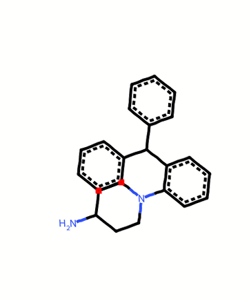 NC1CCN(c2ccccc2C(c2ccccc2)c2ccccc2)CC1